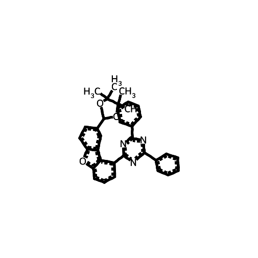 CC1(C)OC(c2ccc3oc4cccc(-c5nc(-c6ccccc6)nc(-c6ccccc6)n5)c4c3c2)OC1(C)C